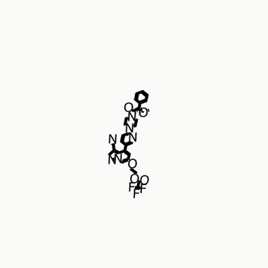 CO[C@@H](C(=O)N1CCN(c2ccc(-c3cc(OCCOC(=O)C(F)(F)F)cn4ncc(C#N)c34)cn2)CC1)c1ccccc1